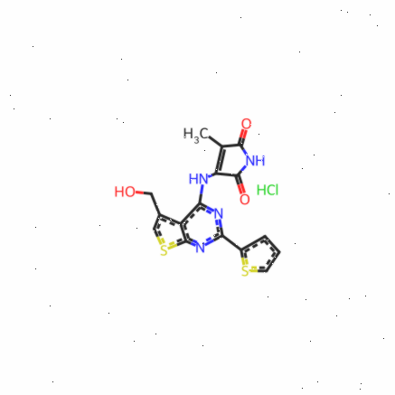 CC1=C(Nc2nc(-c3cccs3)nc3scc(CO)c23)C(=O)NC1=O.Cl